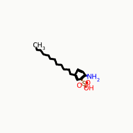 CCCCCCCCCCCCc1ccc(N)c(S(=O)(=O)O)c1